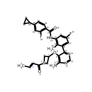 C/C=C/C(=O)N1CC(Oc2c(N)ncnc2-c2cc(F)cc(NC(=O)c3ccc(C4CC4)cc3F)c2C)C1